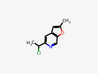 Cc1cc2cc(C(C)Cl)ncc2o1